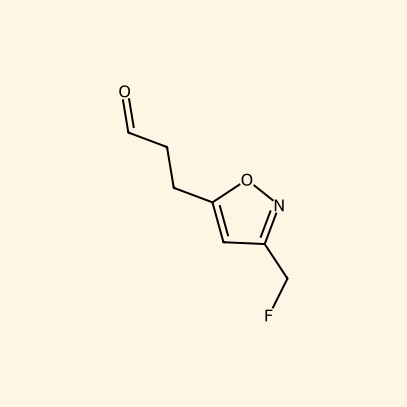 O=CCCc1cc(CF)no1